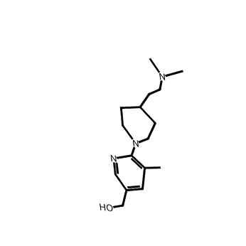 Cc1cc(CO)cnc1N1CCC(CCN(C)C)CC1